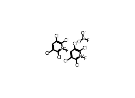 F[n+]1c(Cl)c(Cl)cc(Cl)c1Cl.F[n+]1c(Cl)c(Cl)cc(Cl)c1Cl.[O-]B([O-])F